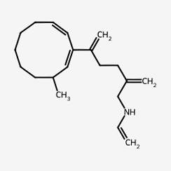 C=CNCC(=C)CCC(=C)C1=C/C(C)CCCCC/C=C\1